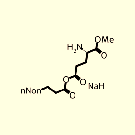 CCCCCCCCCCCC(=O)OC(=O)CC[C@H](N)C(=O)OC.[NaH]